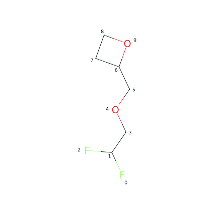 FC(F)COCC1CCO1